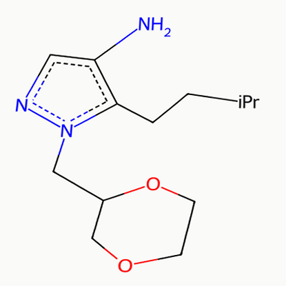 CC(C)CCc1c(N)cnn1CC1COCCO1